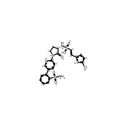 NS(=O)(=O)c1ccccc1-c1ccc(N2CC[C@H](NS(=O)(=O)C=Cc3ccc(Cl)s3)C2=O)nc1